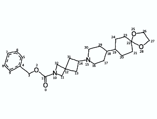 O=C(OCc1ccccc1)N1CC2(CC(N3CCC(C4CCC5(CC4)OCCO5)CC3)C2)C1